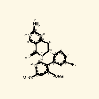 COc1cc(OC)c(-c2cc(F)ccc2[C@H]2Cc3nc(N)ncc3C(=O)N2)cn1